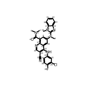 CN(C)C(=O)c1cc(N(C)c2nc3ccccc3n2C)cc2c(Nc3ccc(F)c(Cl)c3)c(C#N)cnc12